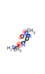 CN(C)CCC(=O)Oc1ccc(-c2ccc3ncc4c(c3c2)n(C2CCOCC2)c(=O)n4C)cn1